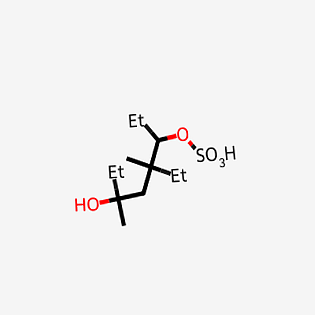 CCC(OS(=O)(=O)O)C(C)(CC)CC(C)(O)CC